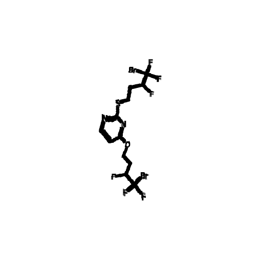 FC(CCOc1ccnc(SCCC(F)C(F)(F)Br)n1)C(F)(F)Br